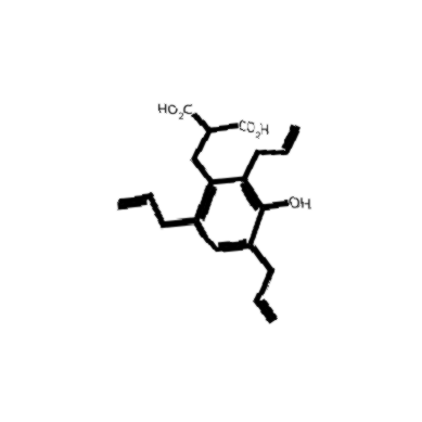 C=CCc1cc(CC=C)c(CC(C(=O)O)C(=O)O)c(CC=C)c1O